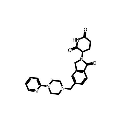 O=C1CCC(N2Cc3cc(CN4CCN(c5ccccn5)CC4)ccc3C2=O)C(=O)N1